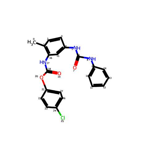 Cc1ccc(NC(=O)Nc2ccccc2)cc1NC(=O)Oc1ccc(Cl)cc1